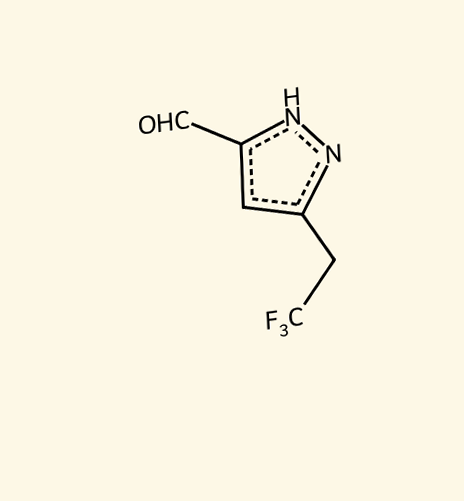 O=Cc1cc(CC(F)(F)F)n[nH]1